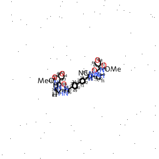 COC(=O)N[C@H](C(=O)N1C(C)[C@H](C)C[C@H]1c1nc(-c2ccc(-c3ccc(-c4c[nH]c([C@@H]5C[C@H]6C[C@H]6N5C(=O)[C@@H](NC(=O)OC)C5CCOCC5)n4)cc3)cc2)c(C#N)[nH]1)C1CCOCC1